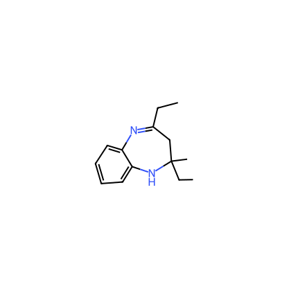 CCC1=Nc2ccccc2NC(C)(CC)C1